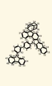 c1cc(-c2ccc(-n3c4cc5ccccc5cc4c4ccc5c(c43)-c3ccccc3C53C4CC5CC(C4)CC3C5)cc2)cc(-n2c3ccccc3c3ccccc32)c1